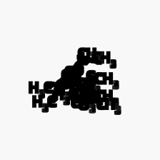 CC(C)COC(=O)C(C(C)C)C(C(=O)OCC(C)C)C(C)C.CCCCC(CC)COC(=O)/C=C(/C)C(=O)OCC(CC)CCCC